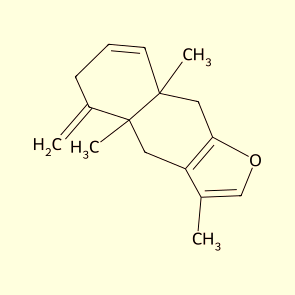 C=C1CC=CC2(C)Cc3occ(C)c3CC12C